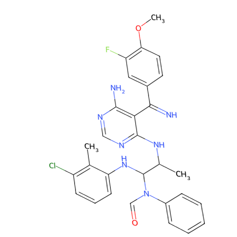 COc1ccc(C(=N)c2c(N)ncnc2NC(C)C(Nc2cccc(Cl)c2C)N(C=O)c2ccccc2)cc1F